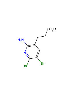 CCOC(=O)CCc1cc(Br)c(Br)nc1N